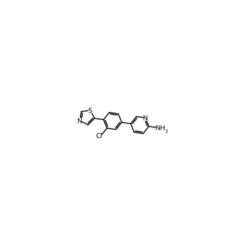 Nc1ccc(-c2ccc(-c3cncs3)c(Cl)c2)cn1